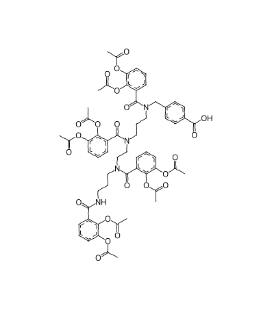 CC(=O)Oc1cccc(C(=O)NCCCN(CCN(CCCN(Cc2ccc(C(=O)O)cc2)C(=O)c2cccc(OC(C)=O)c2OC(C)=O)C(=O)c2cccc(OC(C)=O)c2OC(C)=O)C(=O)c2cccc(OC(C)=O)c2OC(C)=O)c1OC(C)=O